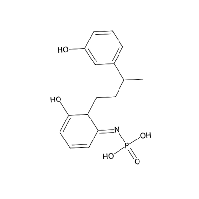 CC(CCC1C(O)=CC=CC1=NP(=O)(O)O)c1cccc(O)c1